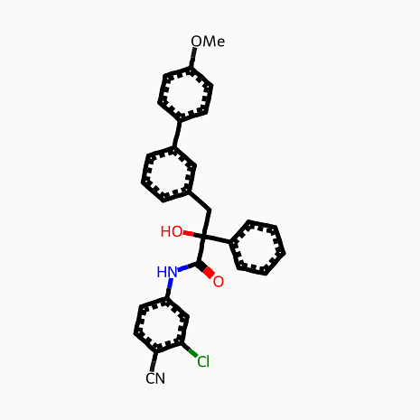 COc1ccc(-c2cccc(CC(O)(C(=O)Nc3ccc(C#N)c(Cl)c3)c3ccccc3)c2)cc1